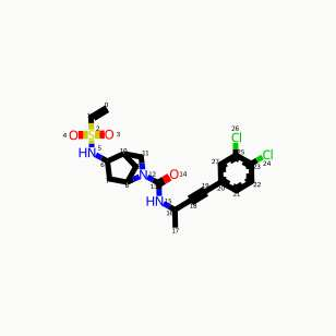 C=CS(=O)(=O)NC1CC2CC1CN2C(=O)NC(C)C#Cc1ccc(Cl)c(Cl)c1